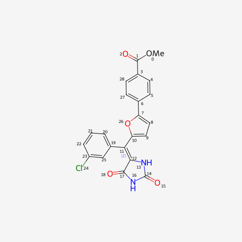 COC(=O)c1ccc(-c2ccc(/C(=C3\NC(=O)NC3=O)c3cccc(Cl)c3)o2)cc1